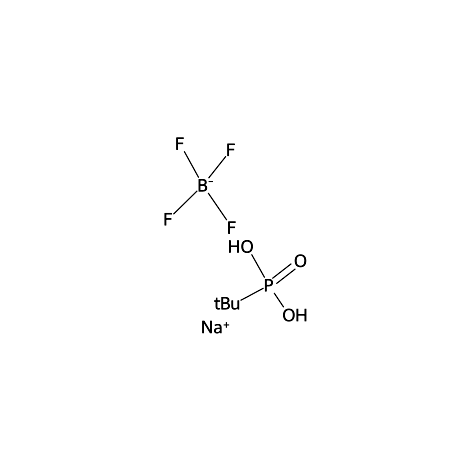 CC(C)(C)P(=O)(O)O.F[B-](F)(F)F.[Na+]